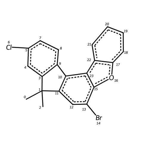 CC1(C)c2cc(Cl)ccc2-c2c1cc(Br)c1oc3ccccc3c21